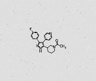 CC(=O)N1CCCC(c2[nH]nc(-c3ccc(F)cc3)c2-c2ccncc2)C1